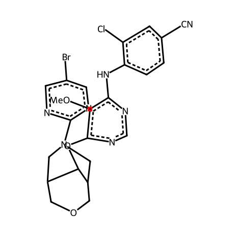 COc1c(Nc2ccc(C#N)cc2Cl)ncnc1OC1C2COCC1CN(c1ncc(Br)cn1)C2